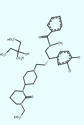 CCOC(=O)CN1CCCN(C2CCN(CC[C@H](CN(C)C(=O)c3ccccc3)c3ccc(Cl)c(Cl)c3)CC2)C1=O.O=C(O)CC(O)(CC(=O)O)C(=O)O